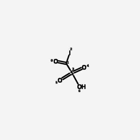 O=C(I)S(=O)(=O)O